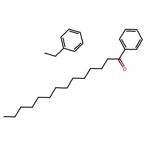 CCCCCCCCCCCCCC(=O)c1ccccc1.CCc1ccccc1